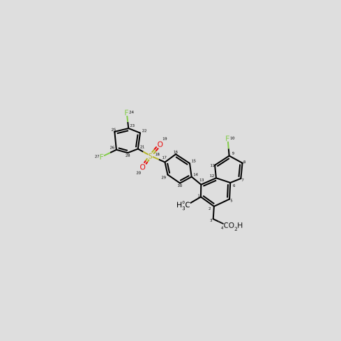 Cc1c(CC(=O)O)cc2ccc(F)cc2c1-c1ccc(S(=O)(=O)c2cc(F)cc(F)c2)cc1